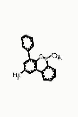 Cc1cc(-c2ccccc2)c2c(c1)-c1ccccc1P(O)O2